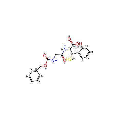 O=C(CNC(=O)OCc1ccccc1)NC(C(=O)O)[C@@H](S)c1ccccc1